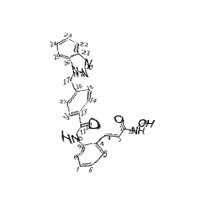 O=C(/C=C/c1ccccc1NC(=O)c1ccc(Cn2nnc3ccccc32)cc1)NO